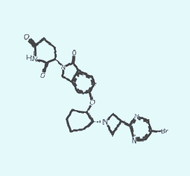 O=C1CC[C@@H](N2Cc3cc(O[C@@H]4CCCC[C@H]4N4CC(c5ncc(Br)cn5)C4)ccc3C2=O)C(=O)N1